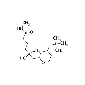 CNC(=O)CCCC(C)(C)CC1CC(CC(C)(C)C)CCO1